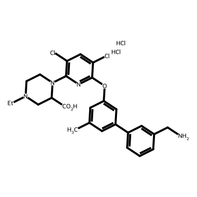 CCN1CCN(c2nc(Oc3cc(C)cc(-c4cccc(CN)c4)c3)c(Cl)cc2Cl)C(C(=O)O)C1.Cl.Cl